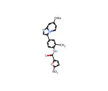 COc1ccn2c(-c3ccc(NC(=O)c4ccc([N+](=O)[O-])o4)c(C)c3)cnc2c1